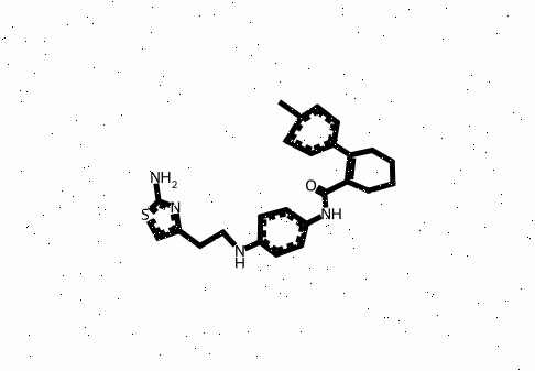 Cc1ccc(C2=C(C(=O)Nc3ccc(NCCc4csc(N)n4)cc3)CCCC2)cc1